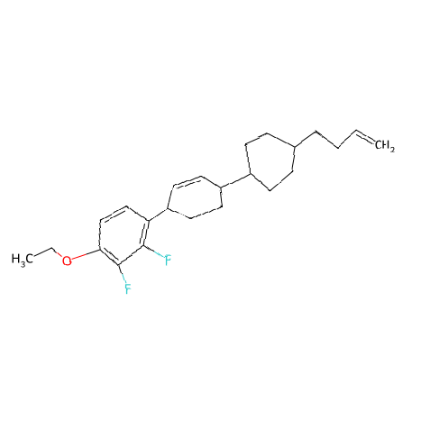 C=CCCC1CCC(C2C=CC(c3ccc(OCC)c(F)c3F)CC2)CC1